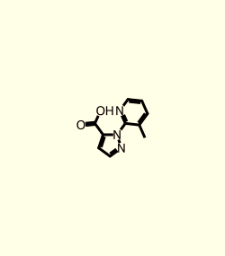 Cc1cccnc1-n1nccc1C(=O)O